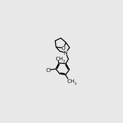 Cc1cc(Cl)c(C)c(CN2CC3CCC(C2)O3)c1